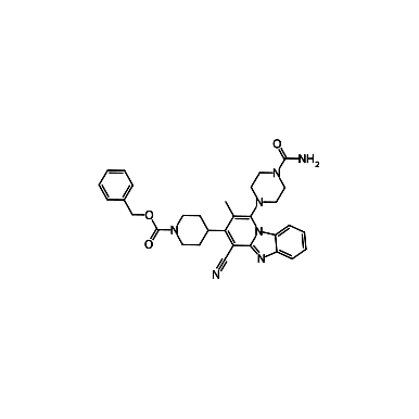 Cc1c(C2CCN(C(=O)OCc3ccccc3)CC2)c(C#N)c2nc3ccccc3n2c1N1CCN(C(N)=O)CC1